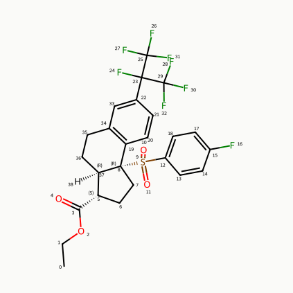 CCOC(=O)[C@H]1CC[C@]2(S(=O)(=O)c3ccc(F)cc3)c3ccc(C(F)(C(F)(F)F)C(F)(F)F)cc3CC[C@H]12